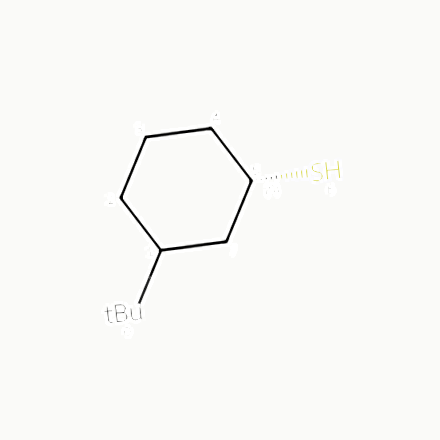 CC(C)(C)C1CCC[C@H](S)C1